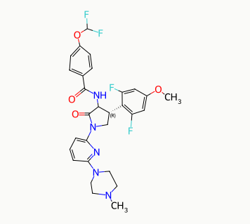 COc1cc(F)c([C@@H]2CN(c3cccc(N4CCN(C)CC4)n3)C(=O)C2NC(=O)c2ccc(OC(F)F)cc2)c(F)c1